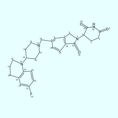 O=C1CCC(N2Cc3cc(CN4CCC(N5CCCc6cc(F)ccc65)CC4)ccc3C2=O)C(=O)N1